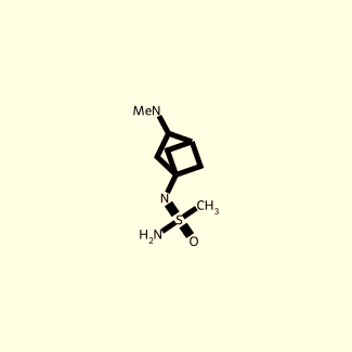 CNC1CC2(N=S(C)(N)=O)CC1C2